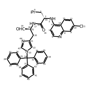 CC(C)C[C@H](Nc1ccnc2cc(Cl)ccc12)C(=O)N[C@H](C=O)Cc1cn(C(c2ccccc2)(c2ccccc2)c2ccccc2)cn1